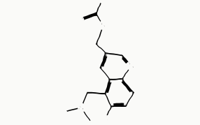 CC(=O)NCc1cnc2ccc(O)c(CN(C)C)c2c1